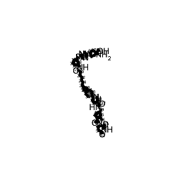 NC1(CO)CCN(c2cnc(Sc3cccc(NC(=O)CCCCCC=C4CC5(CCN(c6ccc(C(=O)NCc7ccc8c(c7)CN(C7CCC(=O)NC7=O)C8=O)nn6)CC5)C4)c3)cn2)CC1